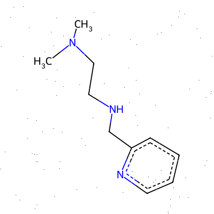 CN(C)CCNCc1ccccn1